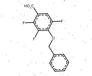 O=C(O)c1cc(F)c(OCc2ccccc2)c(F)c1F